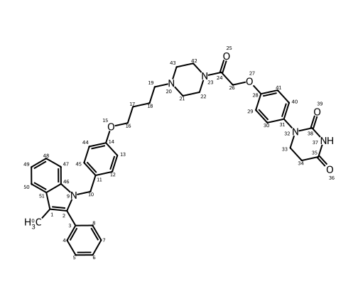 Cc1c(-c2ccccc2)n(Cc2ccc(OCCCCN3CCN(C(=O)COc4ccc(N5CCC(=O)NC5=O)cc4)CC3)cc2)c2ccccc12